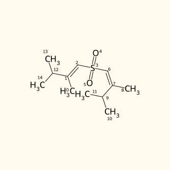 CC(=CS(=O)(=O)C=C(C)C(C)C)C(C)C